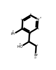 CC(C)c1ccncc1C(O)CBr